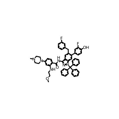 COCCNc1cc(N2CCN(C)CC2)ccc1C(=O)Nc1nn(C(c2ccccc2)(c2ccccc2)c2ccccc2)c2cc(-c3ccc(O)c(F)c3)c(Cc3cccc(F)c3)cc12